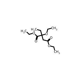 CCOC(=O)CC(CC)(OCC)C(=O)OCC